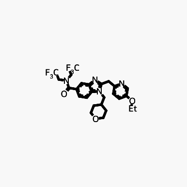 CCOc1ccc(Cc2nc3cc(C(=O)N(CC(F)(F)F)CC(F)(F)F)ccc3n2CC2CCOCC2)nc1